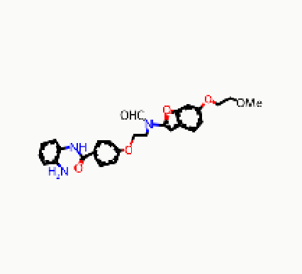 COCCOc1ccc2cc(N(C=O)CCOc3ccc(C(=O)Nc4ccccc4N)cc3)oc2c1